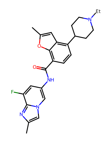 CCN1CCC(c2ccc(C(=O)Nc3cc(F)c4nc(C)cn4c3)c3oc(C)cc23)CC1